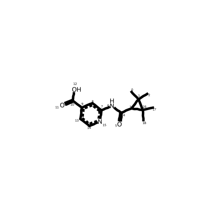 CC1(C)C(C(=O)Nc2cc(C(=O)O)ccn2)C1(C)C